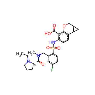 CCN1CCC[C@H]1C(=O)N(C)Cc1cc(F)ccc1S(=O)(=O)Nc1ccc2c(c1C(=O)O)OCC1CC21